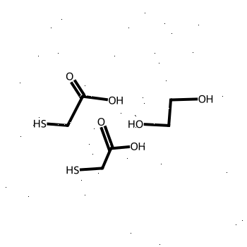 O=C(O)CS.O=C(O)CS.OCCO